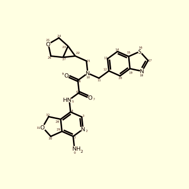 Nc1ncc(NC(=O)C(=O)N(Cc2ccc3scnc3c2)CC2C3COCC32)c2c1COC2